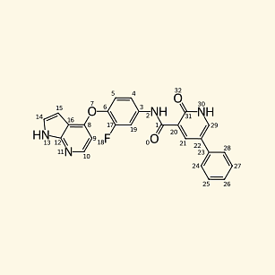 O=C(Nc1ccc(Oc2ccnc3[nH]ccc23)c(F)c1)c1cc(-c2ccccc2)c[nH]c1=O